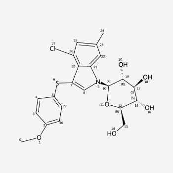 COc1ccc(Sc2cn([C@@H]3O[C@H](CO)[C@@H](O)[C@H](O)[C@H]3O)c3cc(C)cc(Cl)c23)cc1